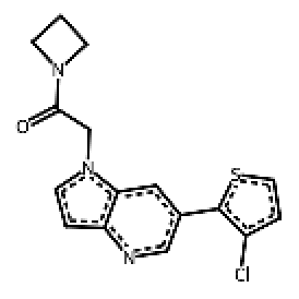 O=C(Cn1ccc2ncc(-c3sccc3Cl)cc21)N1CCC1